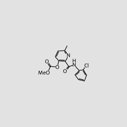 COC(=O)Oc1ccc(C)nc1C(=O)Nc1ccccc1Cl